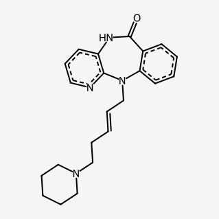 O=C1Nc2cccnc2N(C/C=C/CCN2CCCCC2)c2ccccc21